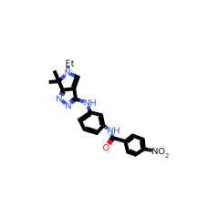 CCN1C=C2C(Nc3cccc(NC(=O)c4ccc([N+](=O)[O-])cc4)c3)=NN=C2C1(C)C